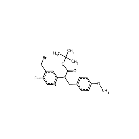 COc1ccc(CN(C(=O)OC(C)(C)C)c2cc(CBr)c(F)cn2)cc1